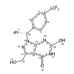 CC(C)[C@H](c1ccc(C(F)(F)F)cc1)n1nc(CO)c2c(=O)[nH]c(O)nc21